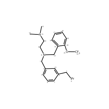 CC(C)Cc1cccc(CN(CCN(C)C)Cc2ccccc2OC(F)(F)F)c1